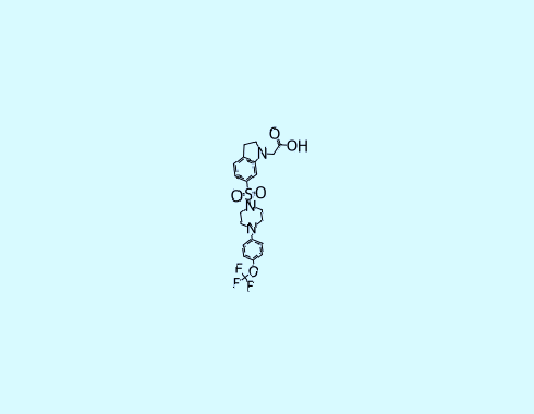 O=C(O)CN1CCc2ccc(S(=O)(=O)N3CCN(c4ccc(OC(F)(F)F)cc4)CC3)cc21